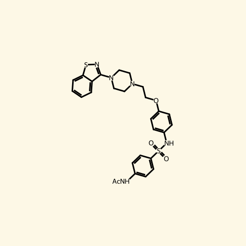 CC(=O)Nc1ccc(S(=O)(=O)Nc2ccc(OCCN3CCN(c4nsc5ccccc45)CC3)cc2)cc1